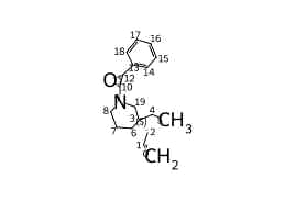 C=CC[C@]1(CC)CCCN(C2OC2c2ccccc2)C1